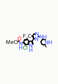 COC(=O)Nc1ccc2c(-c3nc(NC4CC[C@H](C)NC4)ncc3C(F)(F)F)c[nH]c2c1Cl